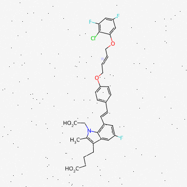 Cc1c(CCCC(=O)O)c2cc(F)cc(C=Cc3ccc(OC/C=C/COc4cc(F)cc(F)c4Cl)cc3)c2n1CC(=O)O